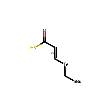 CCCCC[Te]/C=C/C(=O)S